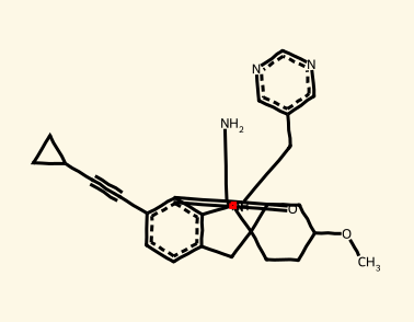 COC1CCC2(CC1)Cc1ccc(C#CC3CC3)cc1C21NC(N)N(Cc2cncnc2)C1=O